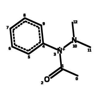 CC(=O)[N+](c1ccccc1)N(C)C